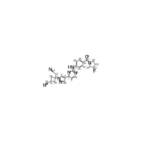 N#CCC1(n2cc(-c3ccnc(Nc4ccc(C(=O)N5CCC(F)C5)cc4)n3)cn2)CC(C#N)C1